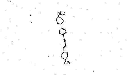 CCCC[C@H]1CC[C@H](c2ccc(C#CC=C[C@H]3CC[C@H](CCC)CC3)cc2)CC1